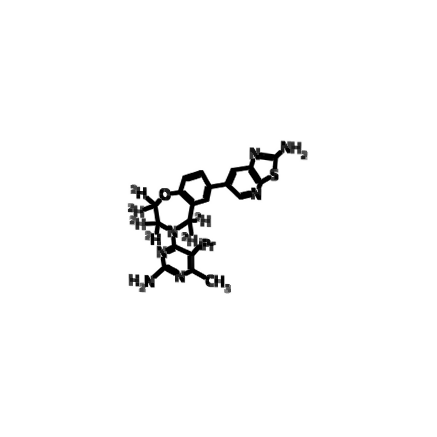 [2H]C1([2H])c2cc(-c3cnc4sc(N)nc4c3)ccc2OC([2H])([2H])C([2H])([2H])N1c1nc(N)nc(C)c1C(C)C